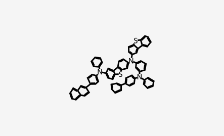 c1ccc(-c2ccc(N(c3ccccc3)c3cccc(N(c4ccc5c(c4)sc4ccc(N(c6ccccc6)c6ccc(-c7ccc8ccccc8c7)cc6)cc45)c4ccc5sc6ccccc6c5c4)c3)cc2)cc1